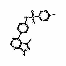 Cc1ccc(S(=O)(=O)Nc2ccc(-c3ncnc4[nH]nc(C)c34)cc2)cc1